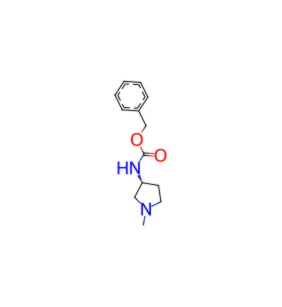 CN1CC[C@H](NC(=O)OCc2ccccc2)C1